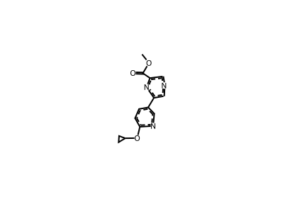 COC(=O)c1cncc(-c2ccc(OC3CC3)nc2)n1